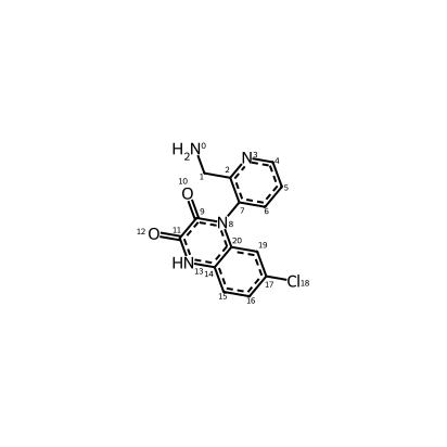 NCc1ncccc1-n1c(=O)c(=O)[nH]c2ccc(Cl)cc21